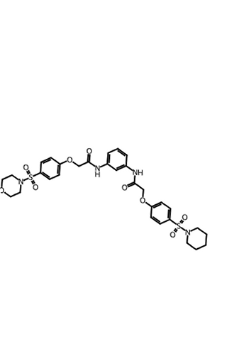 O=C(COc1ccc(S(=O)(=O)N2CCCCC2)cc1)Nc1cccc(NC(=O)COc2ccc(S(=O)(=O)N3CCOCC3)cc2)c1